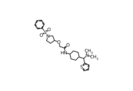 CN(C)C(c1cccs1)C1CCC(NC(=O)COC2CCN(S(=O)(=O)c3ccccc3)C2)CC1